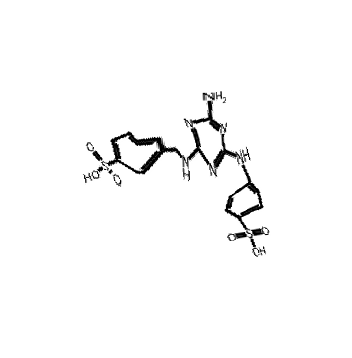 Nc1nc(Nc2ccc(S(=O)(=O)O)cc2)nc(Nc2cccc(S(=O)(=O)O)c2)n1